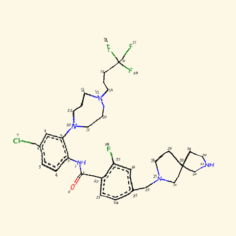 O=C(Nc1ccc(Cl)cc1N1CCN(CCC(F)(F)F)CC1)c1ccc(CN2CCC3(CCNC3)C2)cc1F